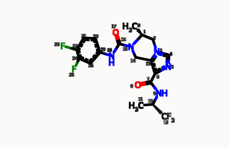 C[C@H]1Cn2cnc(C(=O)N[C@H](C)C(F)(F)F)c2CN1C(=O)Nc1ccc(F)c(F)c1